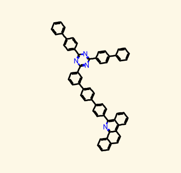 c1ccc(-c2ccc(-c3nc(-c4ccc(-c5ccccc5)cc4)nc(-c4cccc(-c5ccc(-c6ccc(-c7nc8c9ccccc9ccc8c8ccccc78)cc6)cc5)c4)n3)cc2)cc1